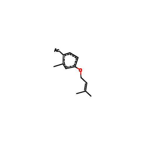 CC(=O)c1ccc(OCC=C(C)C)cc1C